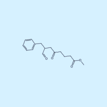 COC(=O)CCCC(=O)CC(C=O)Cc1ccccc1